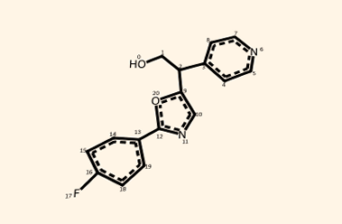 OCC(c1ccncc1)c1cnc(-c2ccc(F)cc2)o1